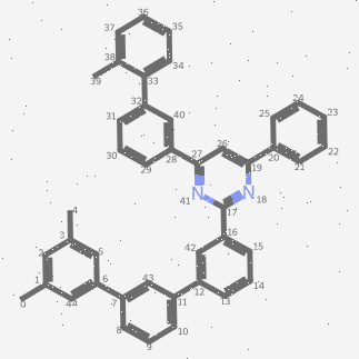 Cc1cc(C)cc(-c2cccc(-c3cccc(-c4nc(-c5ccccc5)cc(-c5cccc(-c6ccccc6C)c5)n4)c3)c2)c1